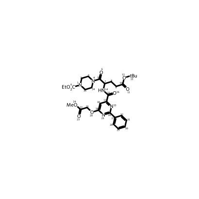 CCOC(=O)N1CCN(C(=O)C(CCC(=O)OC(C)(C)C)NC(=O)c2cc(OCC(=O)OC)nc(-c3ccccc3)n2)CC1